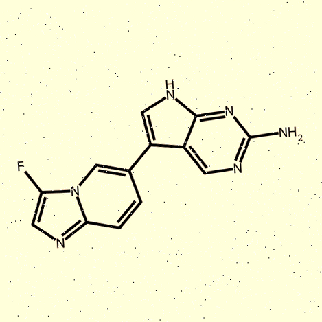 Nc1ncc2c(-c3ccc4ncc(F)n4c3)c[nH]c2n1